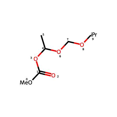 COC(=O)OC(C)OCOC(C)C